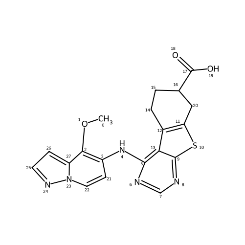 COc1c(Nc2ncnc3sc4c(c23)CCC(C(=O)O)C4)ccn2nccc12